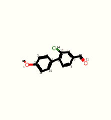 COc1ccc(-c2ccc(C=O)cc2Cl)cc1